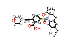 CCc1ccc2c(c1)CCC(CC)N2S(=O)(=O)c1ccc(C#CC2CCOCC2)c(C(=O)O)c1